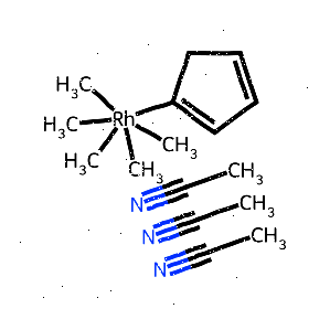 CC#N.CC#N.CC#N.[CH3][Rh]([CH3])([CH3])([CH3])([CH3])[C]1=CC=CC1